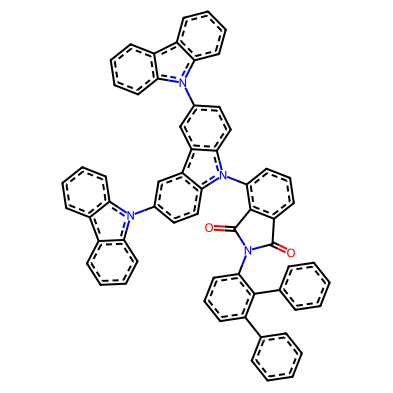 O=C1c2cccc(-n3c4ccc(-n5c6ccccc6c6ccccc65)cc4c4cc(-n5c6ccccc6c6ccccc65)ccc43)c2C(=O)N1c1cccc(-c2ccccc2)c1-c1ccccc1